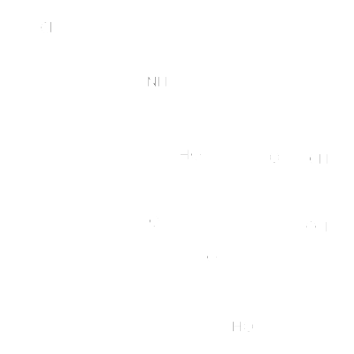 COC1C(O)C(CO)OC(Oc2cc3c(c4ccccc24)[C@H](CCl)CN3)C1O